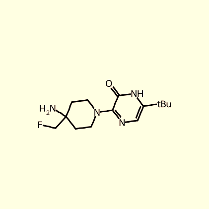 CC(C)(C)c1cnc(N2CCC(N)(CF)CC2)c(=O)[nH]1